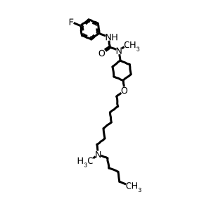 CCCCCN(C)CCCCCCCOC1CCC(N(C)C(=O)Nc2ccc(F)cc2)CC1